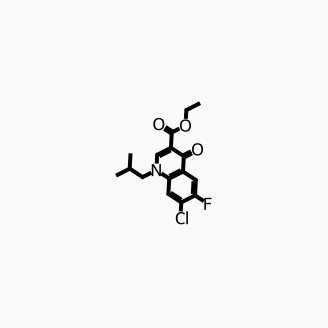 CCOC(=O)c1cn(CC(C)C)c2cc(Cl)c(F)cc2c1=O